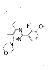 CCc1nc(-c2cccc(OC)c2F)nc(N2CCOCC2)c1C